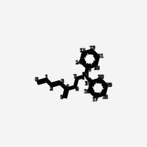 C=CC=CC(=C)CCN(c1ccccc1)c1ccccc1